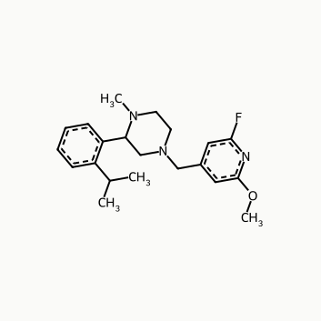 COc1cc(CN2CCN(C)C(c3ccccc3C(C)C)C2)cc(F)n1